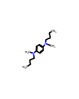 CCCCN(C)c1ccc(N(C)CCCC)cc1